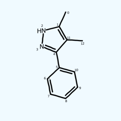 Cc1[nH]nc(-c2[c]cccc2)c1C